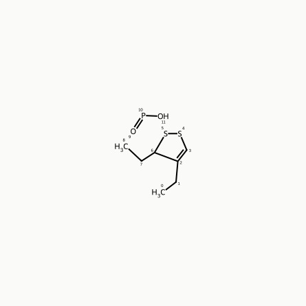 CCC1=CSSC1CC.O=PO